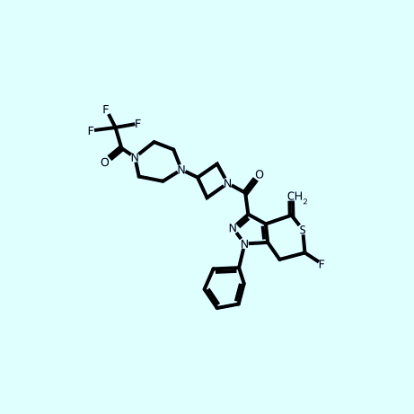 C=C1SC(F)Cc2c1c(C(=O)N1CC(N3CCN(C(=O)C(F)(F)F)CC3)C1)nn2-c1ccccc1